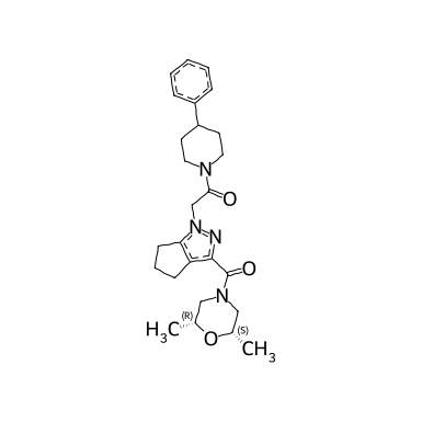 C[C@@H]1CN(C(=O)c2nn(CC(=O)N3CCC(c4ccccc4)CC3)c3c2CCC3)C[C@H](C)O1